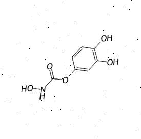 O=C(NO)Oc1ccc(O)c(O)c1